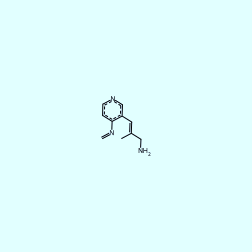 C=Nc1ccncc1/C=C(\C)CN